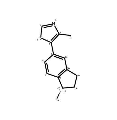 Cc1ncsc1-c1ccc2c(c1)CC[C@@H]2C